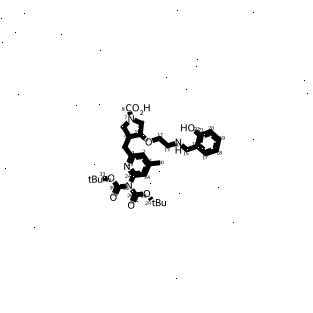 Cc1cc(CC2CN(C(=O)O)CC2OCCNCc2ccccc2O)nc(N(C(=O)OC(C)(C)C)C(=O)OC(C)(C)C)c1